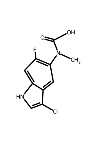 CN(C(=O)O)c1cc2c(Cl)c[nH]c2cc1F